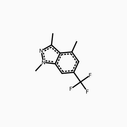 Cc1cc(C(F)(F)F)cc2c1c(C)nn2C